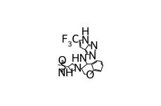 CS(=N)(=O)C1CN(C2COc3ccccc3C2Nc2ncnc3[nH]c(C(F)(F)F)cc23)C1